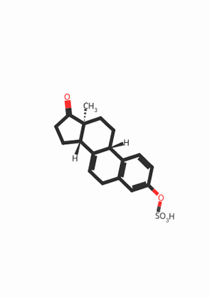 C[C@]12CC[C@H]3C(=CCc4cc(OS(=O)(=O)O)ccc43)[C@@H]1CCC2=O